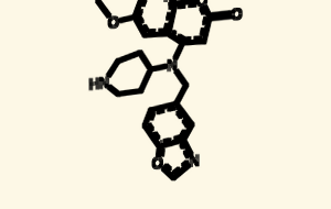 COc1ccc2oc(=O)cc(N(Cc3ccc4ocnc4c3)C3CCNCC3)c2c1